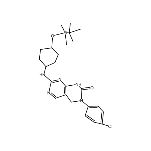 CC(C)(C)[Si](C)(C)OC1CCC(Nc2ncc3c(n2)NC(=O)N(c2ccc(Cl)cc2)C3)CC1